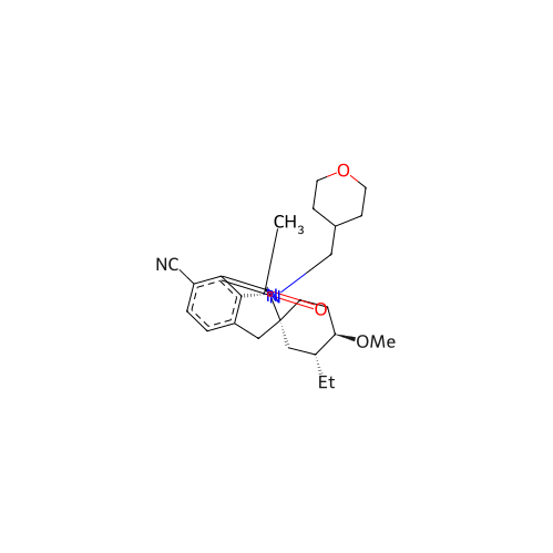 CC[C@@H]1C[C@]2(CC[C@H]1OC)Cc1ccc(C#N)cc1[C@]21N=C(C)N(CC2CCOCC2)C1=O